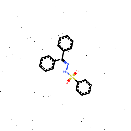 O=S(=O)(NN=C(c1ccccc1)c1ccccc1)c1ccccc1